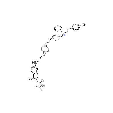 O=C1CCC(N2Cc3cc(NCCCN4CCN(CCOc5ccc(/C=C(/CCc6ccc(O)cc6)c6ccccc6)cc5)CC4)ccc3C2=O)C(=O)N1